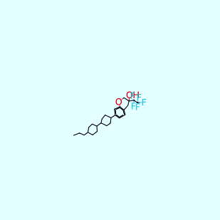 CCCC1CCC(C2CCC(c3ccc4c(c3)OCC(O)(C(F)(F)C(F)(F)F)C4)CC2)CC1